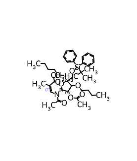 CCCCOC[C@@]1(CO[Si](c2ccccc2)(c2ccccc2)C(C)(C)C)O[C@@H](N(/C=C(/C)C(C)=O)C(C)=O)[C@@H](OC(C)=O)C1OCCCC